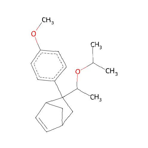 COc1ccc(C2(C(C)OC(C)C)CC3C=CC2C3)cc1